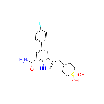 NC(=O)c1cc(-c2ccc(F)cc2)cc2c(CC3CCS(O)(O)CC3)c[nH]c12